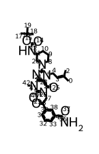 CC(C)=CCn1c(N2CCCC(NC(=O)OC(C)(C)C)C2)nc2c1c(=O)n(CC(=O)c1cccc(C(N)=O)c1)c(=O)n2C